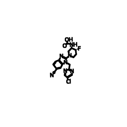 N#Cc1ccc2nc(N3CC[C@@H](F)[C@H](NC(=O)O)C3)n(Cc3ncc(Cl)cn3)c2c1